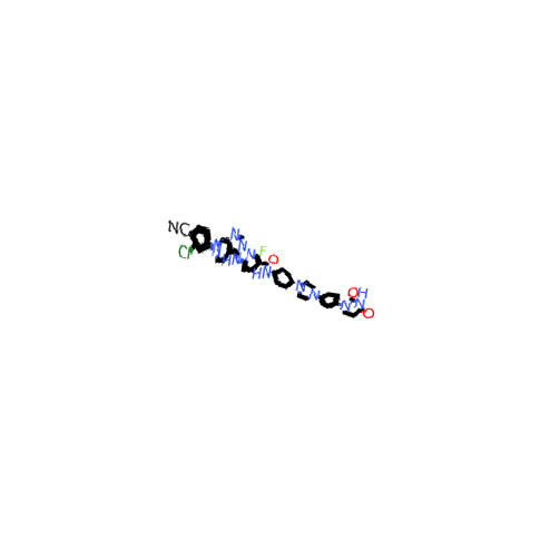 N#Cc1ccc(N2CCc3c(ncnc3Nc3ccc(C(=O)N[C@H]4CC[C@@H](N5CCN(c6ccc(N7CCC(=O)NC7=O)cc6)CC5)CC4)c(F)n3)C2)cc1Cl